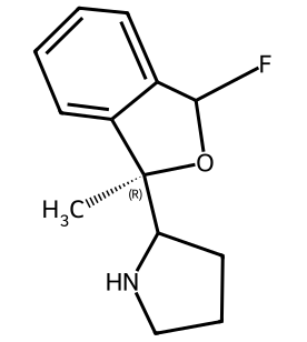 C[C@@]1(C2CCCN2)OC(F)c2ccccc21